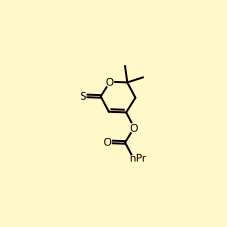 CCCC(=O)OC1=CC(=S)OC(C)(C)C1